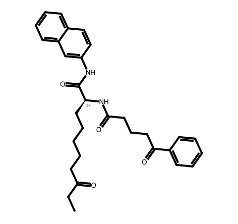 CCC(=O)CCCCC[C@H](NC(=O)CCCC(=O)c1ccccc1)C(=O)Nc1ccc2ccccc2c1